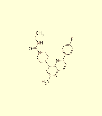 CCNC(=O)N1CCN(c2nc(N)nc3ccc(-c4ccc(F)cc4)nc23)CC1